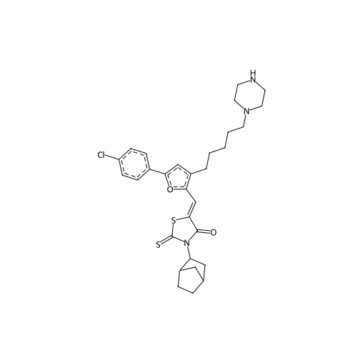 O=C1/C(=C/c2oc(-c3ccc(Cl)cc3)cc2CCCCCN2CCNCC2)SC(=S)N1C1CC2CCC1C2